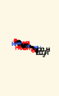 O=C(O)C[C@H](NC(=O)CCCNC(=O)[C@H]1O[C@@H](N2CCC(=O)NC2=O)[C@H](O)[C@@H]1O)C(=O)O